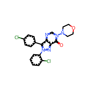 O=c1c2nn(-c3ccccc3Cl)c(-c3ccc(Cl)cc3)c2ncn1N1CCOCC1